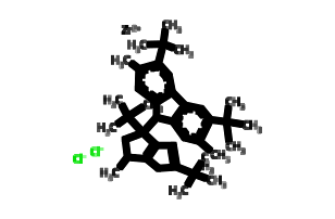 Cc1cc2c(cc1C(C)(C)C)-c1cc(C(C)(C)C)c(C)cc1C2C1(C(C)(C)C)CC(C)C2=C1C=C(C(C)(C)C)C2.[Cl-].[Cl-].[Zr+2]